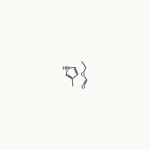 CCOC=O.Cc1cc[nH]c1